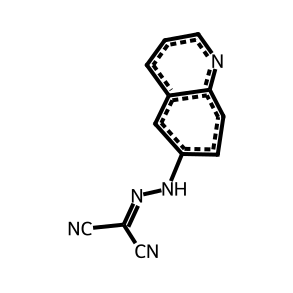 N#CC(C#N)=NNc1ccc2ncccc2c1